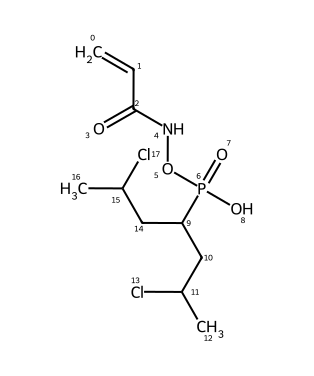 C=CC(=O)NOP(=O)(O)C(CC(C)Cl)CC(C)Cl